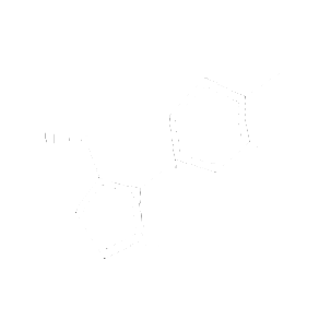 Cc1ccc(-c2sccc2C(=O)O)cc1